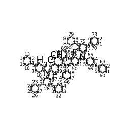 CC1(C)c2cc(N(c3ccc(-c4ccccc4)cc3)c3cc(-c4ccccc4)cc(-c4ccccc4)c3F)ccc2-c2c(-c3ccccc3)c3ccc(N(c4ccc(-c5ccccc5)cc4)c4cc(-c5ccccc5)cc(-c5ccccc5)c4F)cc3c3cccc1c23